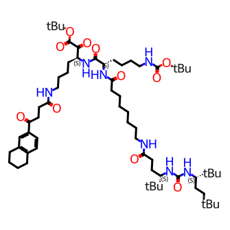 CC(C)(C)CC[C@H](NC(=O)N[C@@H](CCC(=O)NCCCCCCCC(=O)N[C@@H](CCCCNC(=O)OC(C)(C)C)C(=O)N[C@@H](CCCCNC(=O)CCC(=O)c1ccc2c(c1)CCCC2)C(=O)C(=O)OC(C)(C)C)C(C)(C)C)C(C)(C)C